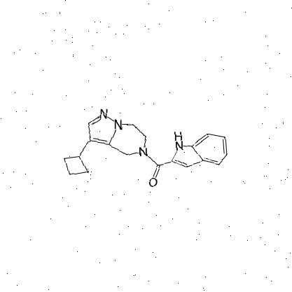 O=C(c1cc2ccccc2[nH]1)N1CCn2ncc(C3CCC3)c2C1